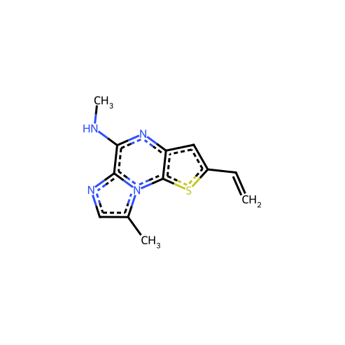 C=Cc1cc2nc(NC)c3ncc(C)n3c2s1